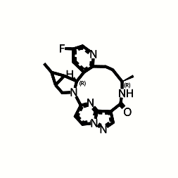 CC1C2CN3c4ccn5ncc(c5n4)C(=O)N[C@H](C)CCc4ncc(F)cc4[C@H]3C12